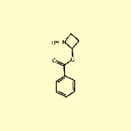 O=C(OC1CC[NH+]1[O-])c1ccccc1